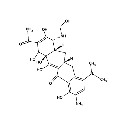 CN(C)c1cc(N)c(O)c2c1C[C@H]1C[C@H]3[C@@H](NCO)C(O)=C(C(N)=O)C(O)[C@@]3(O)C(O)=C1C2=O